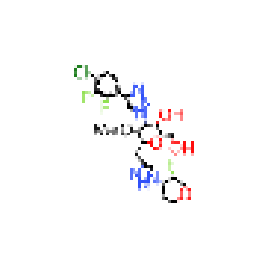 CO[C@@H]1[C@@H](n2cc(-c3ccc(Cl)c(F)c3F)nn2)[C@@H](O)[C@@H](CO)O[C@@H]1Cc1cn([C@H]2CCOC[C@@H]2F)nn1